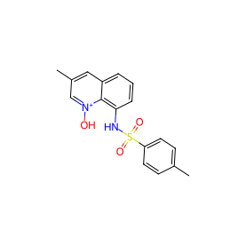 Cc1ccc(S(=O)(=O)Nc2cccc3cc(C)c[n+](O)c23)cc1